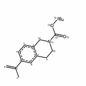 C=C(C)c1ccc2c(c1)CCN(C(=O)OC(C)(C)C)C2